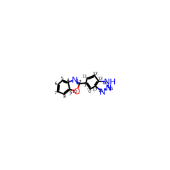 [c]1c(-c2nc3ccccc3o2)ccc2[nH]nnc12